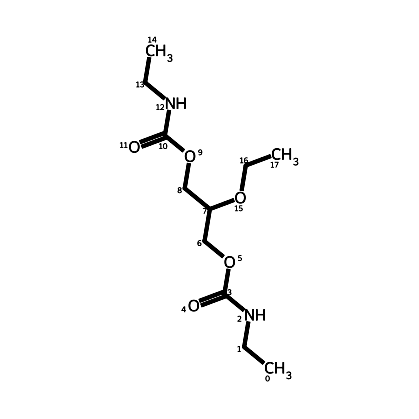 CCNC(=O)OCC(COC(=O)NCC)OCC